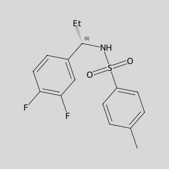 CC[C@H](NS(=O)(=O)c1ccc(C)cc1)c1ccc(F)c(F)c1